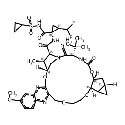 COc1ccc2nc3c(nc2c1)O[C@H]1CN(C(=O)[C@H](C(C)(C)C)NC(=O)O[C@@H]2C[C@@H]4CC4[C@H]2CCCCC3)[C@H](C(=O)N[C@]2(C(=O)NS(=O)(=O)C3CC3)C[C@H]2C(F)F)[C@@H]1C